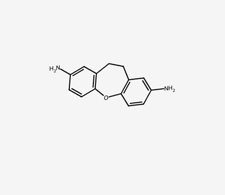 Nc1ccc2c(c1)CCc1cc(N)ccc1O2